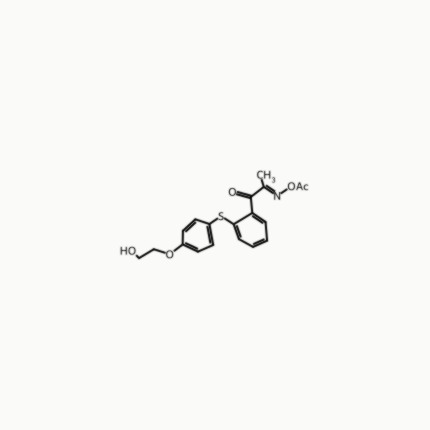 CC(=O)ON=C(C)C(=O)c1ccccc1Sc1ccc(OCCO)cc1